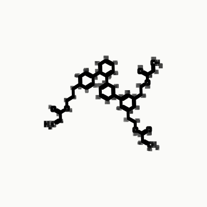 C=CC(=O)OCCCc1ccc(-c2ccccc2-c2cccc(-c3cc(CCOC(=O)C=C)cc(CCOC(=O)C=C)c3)c2)cc1